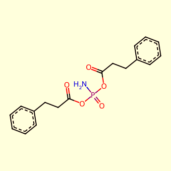 NP(=O)(OC(=O)CCc1ccccc1)OC(=O)CCc1ccccc1